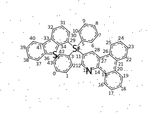 c1ccc([Si](c2ccccc2)(c2cnc3c4ccccc4c4ccccc4c3c2)c2cccc3c2sc2ccccc23)cc1